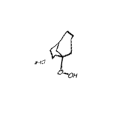 Cl.OOC12CCCC(CC1)C2